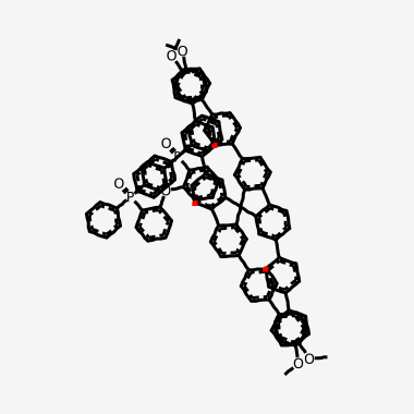 COc1ccc(-c2ccc(-c3ccc4c(c3)C3(c5cc(-c6ccc(-c7ccc(OC)cc7)cc6)ccc5-4)c4cc(-c5ccc(-c6ccc(OC)cc6)cc5)ccc4-c4ccc(-c5ccc(-c6ccc(OC)cc6)cc5-c5ccc(P(=O)(c6ccccc6)c6ccccc6Oc6ccccc6P(=O)(c6ccccc6)c6ccccc6)cc5)cc43)cc2)cc1